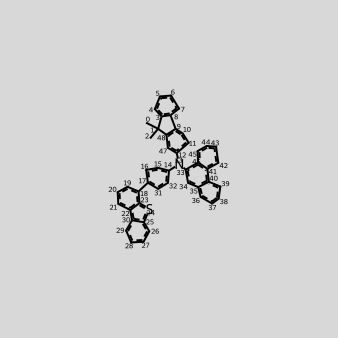 CC1(C)c2ccccc2-c2ccc(N(c3ccc(-c4cccc5c4sc4ccccc45)cc3)c3cc4ccccc4c4ccccc34)cc21